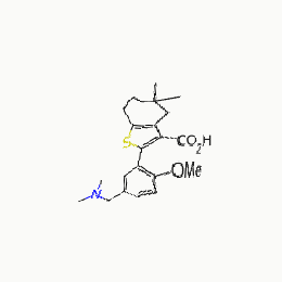 COc1ccc(CN(C)C)cc1-c1sc2c(c1C(=O)O)CC(C)(C)CC2